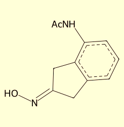 CC(=O)Nc1cccc2c1CC(=NO)C2